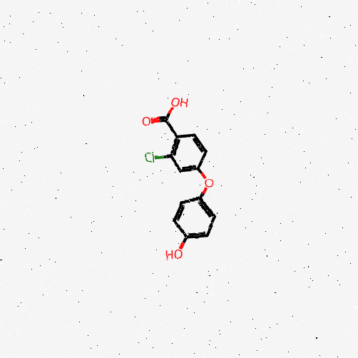 O=C(O)c1ccc(Oc2ccc(O)cc2)cc1Cl